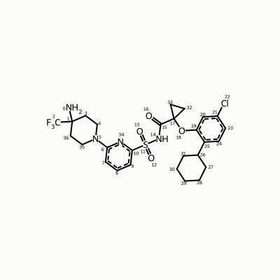 NC1(C(F)(F)F)CCN(c2cccc(S(=O)(=O)NC(=O)C3(Oc4cc(Cl)ccc4C4CCCCC4)CC3)n2)CC1